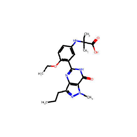 CCCc1nn(C)c2c(=O)[nH]c(-c3cc(NC(C)(C)C(=O)O)ccc3OCC)nc12